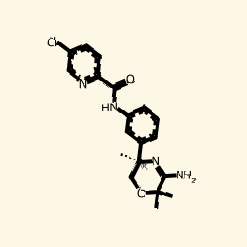 CC1(C)OC[C@@](C)(c2cccc(NC(=O)c3ccc(Cl)cn3)c2)N=C1N